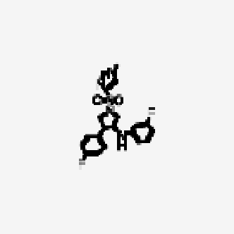 Cn1cnc(S(=O)(=O)N2CC(Nc3cccc(F)c3)C(c3ccc(F)cc3)C2)c1